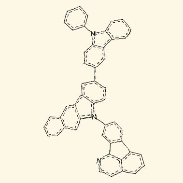 c1ccc(-n2c3ccccc3c3cc(-c4ccc5c(c4)c4cc6ccccc6cc4n5-c4ccc5c(c4)-c4nccc6cccc-5c46)ccc32)cc1